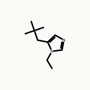 CCn1cncc1CC(C)(C)C